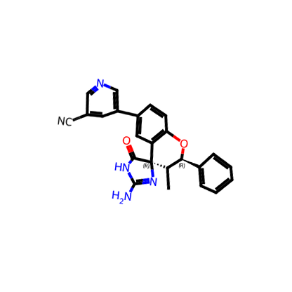 CC1[C@H](c2ccccc2)Oc2ccc(-c3cncc(C#N)c3)cc2[C@]12N=C(N)NC2=O